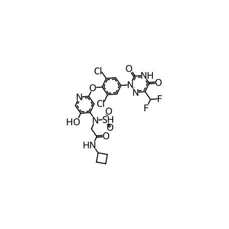 O=C(CN(c1cc(Oc2c(Cl)cc(-n3nc(C(F)F)c(=O)[nH]c3=O)cc2Cl)ncc1O)[SH](=O)=O)NC1CCC1